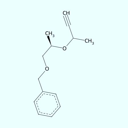 C#CC(C)O[C@H](C)COCc1ccccc1